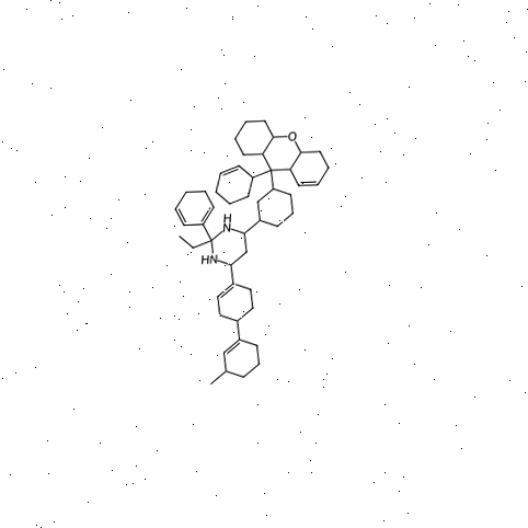 CCC1(C2=CCCC=C2)NC(C2=CCC(C3=CC(C)CCC3)CC2)CC(C2CCCC(C3(C4C=CCCC4)C4C=CCCC4OC4CCCCC43)C2)N1